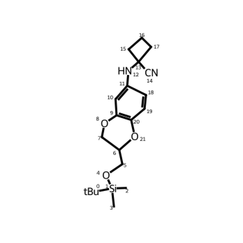 CC(C)(C)[Si](C)(C)OCC1COc2cc(NC3(C#N)CCC3)ccc2O1